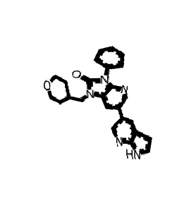 O=c1n(CC2CCOCC2)c2cc(-c3cnc4[nH]ccc4c3)cnc2n1-c1ccccc1